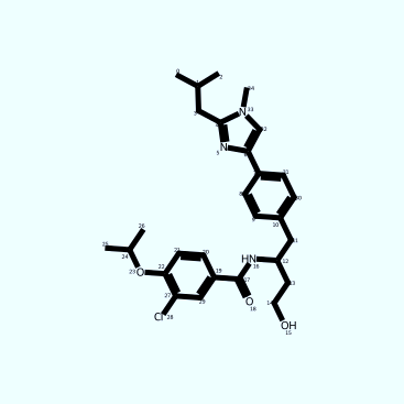 CC(C)Cc1nc(-c2ccc(CC(CCO)NC(=O)c3ccc(OC(C)C)c(Cl)c3)cc2)cn1C